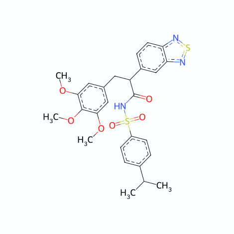 COc1cc(CC(C(=O)NS(=O)(=O)c2ccc(C(C)C)cc2)c2ccc3nsnc3c2)cc(OC)c1OC